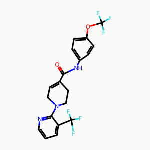 O=C(Nc1ccc(OC(F)(F)F)cc1)C1=CCN(c2ncccc2C(F)(F)F)CC1